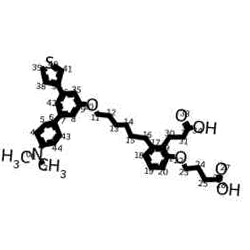 CN(C)c1ccc(-c2cc(OCCCCCCc3cccc(OCCCC(=O)O)c3CCC(=O)O)cc(-c3ccsc3)c2)cc1